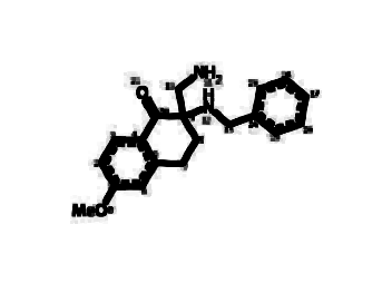 COc1ccc2c(c1)CCC(CN)(NCc1ccccc1)C2=O